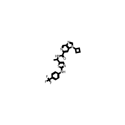 CC(NC(=O)c1cc2c(cn1)ncn2C1CCC1)c1cnc(Nc2ccc(C(F)(F)F)cc2)s1